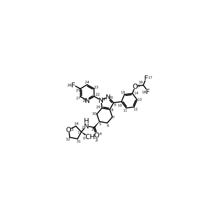 C[C@@]1(NC(=O)[C@@H]2CCc3c(-c4cccc(OC(F)F)c4)nn(-c4ccc(F)cn4)c3C2)CCOC1